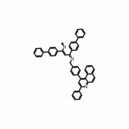 C=N/C(=C\C(=N/Cc1ccc(-c2cc(-c3ccccc3)nc3ccc4ccccc4c23)cc1)c1ccc(-c2ccccc2)cc1)c1ccc(-c2ccccc2)cc1